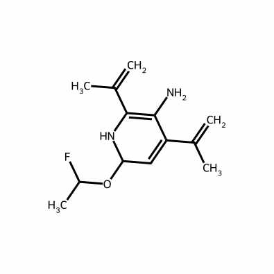 C=C(C)C1=CC(OC(C)F)NC(C(=C)C)=C1N